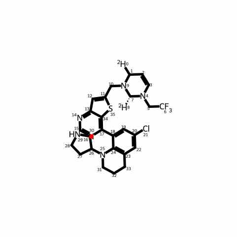 [2H]C1C=CN(CC(F)(F)F)[C@H]([2H])N1Cc1cc2ncnc(-c3cc(Cl)cc4c3N(C3CCNC3)CCC4)c2s1